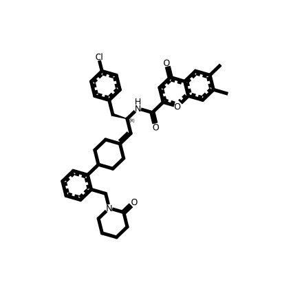 Cc1cc2oc(C(=O)N[C@@H](C=C3CCC(c4ccccc4CN4CCCCC4=O)CC3)Cc3ccc(Cl)cc3)cc(=O)c2cc1C